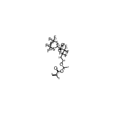 C=C(C)C(=O)OC(C)OCCC(F)(F)C(F)(F)S(=O)(=O)C(SC(F)(F)F)SC(F)(F)F